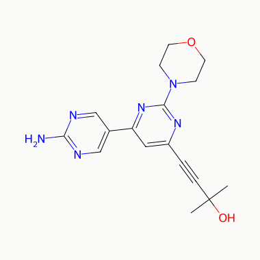 CC(C)(O)C#Cc1cc(-c2cnc(N)nc2)nc(N2CCOCC2)n1